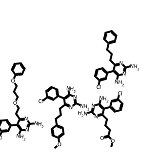 COC(=O)CCCc1nc(N)nc(N)c1-c1cccc(Cl)c1.COc1ccc(CCCc2nc(N)nc(N)c2-c2cccc(Cl)c2)cc1.Nc1nc(N)c(-c2cccc(Cl)c2)c(CCCc2ccccc2)n1.Nc1nc(N)c(-c2cccc(Cl)c2)c(CCOCCCOc2ccccc2)n1